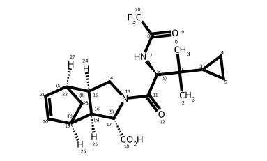 CC(C)(C1CC1)[C@H](NC(=O)C(F)(F)F)C(=O)N1C[C@H]2[C@@H]([C@H]1C(=O)O)[C@H]1C=C[C@@H]2C1